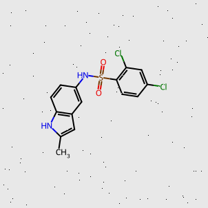 Cc1cc2cc(NS(=O)(=O)c3ccc(Cl)cc3Cl)ccc2[nH]1